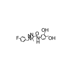 Cc1c(C(=O)Nc2ccc(CO)c(CO)c2)nnn1Cc1ccc(F)cc1